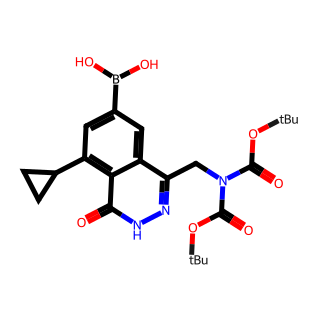 CC(C)(C)OC(=O)N(Cc1n[nH]c(=O)c2c(C3CC3)cc(B(O)O)cc12)C(=O)OC(C)(C)C